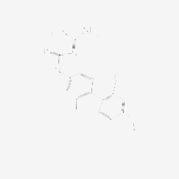 CSc1ccc(-c2ccc(NC(=N)N=C(N)N)cc2Cl)c(F)c1